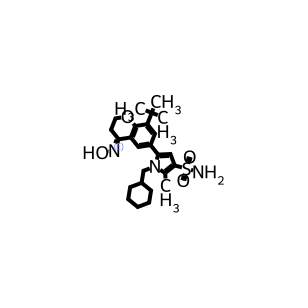 Cc1c(S(N)(=O)=O)cc(-c2cc3c(c(C(C)(C)C)c2)OCC/C3=N\O)n1CC1CCCCC1